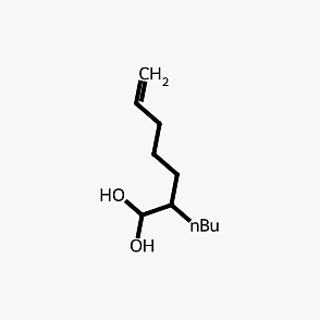 C=CCCCC(CCCC)C(O)O